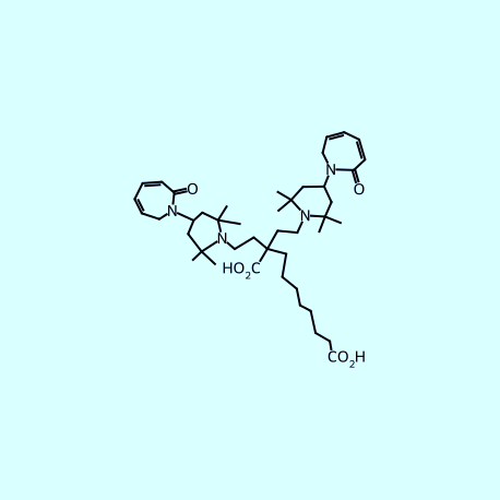 CC1(C)CC(N2CC=CC=CC2=O)CC(C)(C)N1CCC(CCCCCCCC(=O)O)(CCN1C(C)(C)CC(N2CC=CC=CC2=O)CC1(C)C)C(=O)O